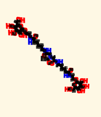 CCC(=O)N(CC(=O)NCCCCCC(=O)NCCO[C@H]1O[C@H](CO)[C@@H](O)[C@H](O)[C@@H]1O)CC(=O)NCCCCCC(=O)NCCO[C@H]1O[C@H](CO)[C@@H](O)[C@H](O)[C@@H]1O